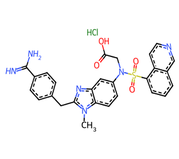 Cl.Cn1c(Cc2ccc(C(=N)N)cc2)nc2cc(N(CC(=O)O)S(=O)(=O)c3cccc4cnccc34)ccc21